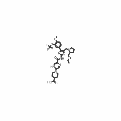 CCOCC1CCCN1Cc1sc(NC(=O)C2=CNC(N3CCC(C(=O)O)CC3)C=N2)nc1-c1ccc(OC)c(OC(F)(F)F)c1